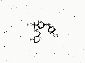 CC(C)(O)c1nnc(Nc2cnc(C#N)cn2)cc1NCC1CNCCO1